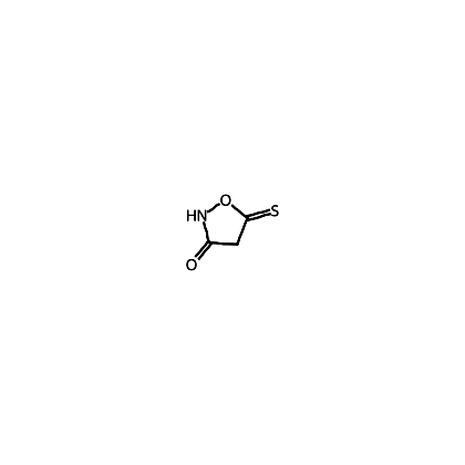 O=C1CC(=S)ON1